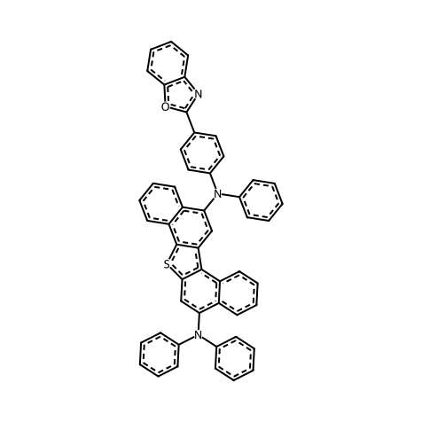 c1ccc(N(c2ccc(-c3nc4ccccc4o3)cc2)c2cc3c(sc4cc(N(c5ccccc5)c5ccccc5)c5ccccc5c43)c3ccccc23)cc1